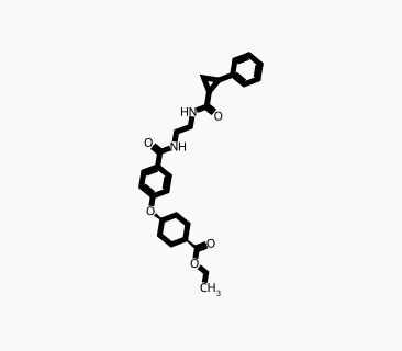 CCOC(=O)[C@H]1CC[C@@H](Oc2ccc(C(=O)NCCNC(=O)C3CC3c3ccccc3)cc2)CC1